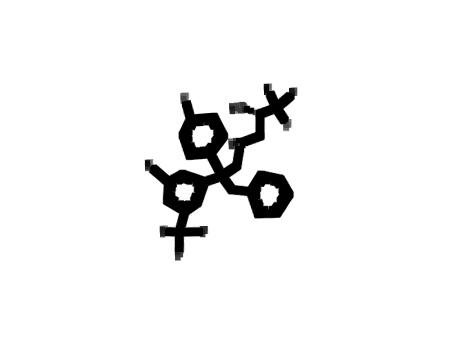 O[C@@H](CNCC(Cc1ccccc1)(c1ccc(F)cc1)c1cc(F)cc(C(F)(F)F)c1)C(F)(F)F